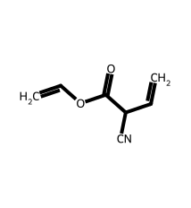 C=COC(=O)C(C#N)C=C